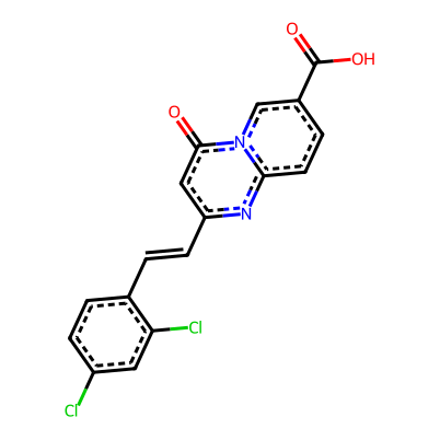 O=C(O)c1ccc2nc(C=Cc3ccc(Cl)cc3Cl)cc(=O)n2c1